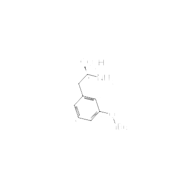 CCC(C)Oc1cccc(C[C@H](N)C(=O)O)c1